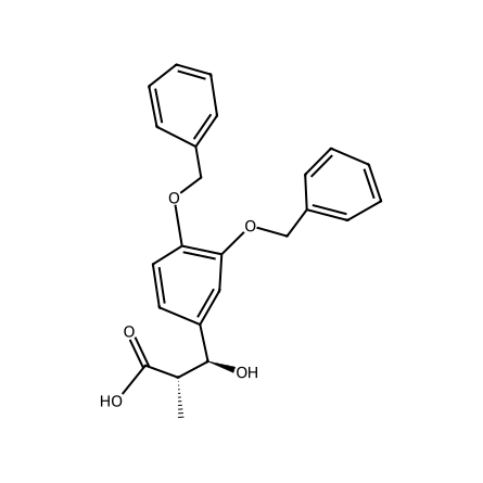 C[C@H](C(=O)O)[C@H](O)c1ccc(OCc2ccccc2)c(OCc2ccccc2)c1